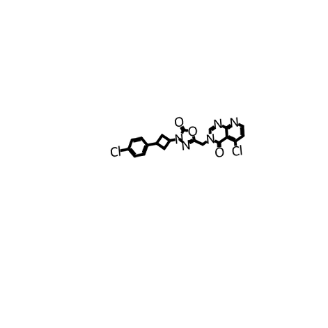 O=c1c2c(Cl)ccnc2ncn1Cc1nn(C2CC(c3ccc(Cl)cc3)C2)c(=O)o1